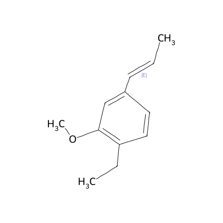 C/C=C/c1ccc(CC)c(OC)c1